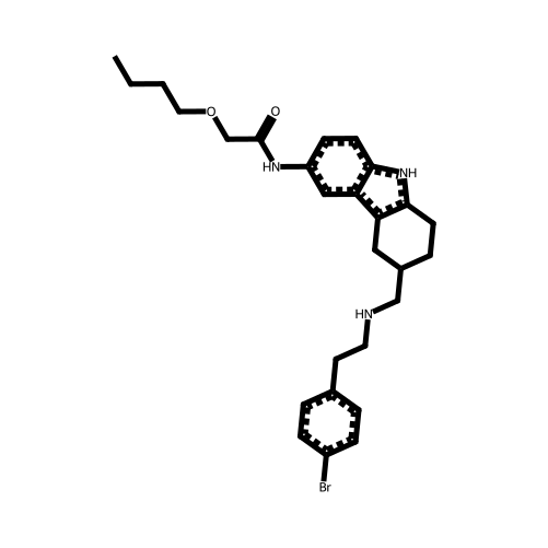 CCCCOCC(=O)Nc1ccc2[nH]c3c(c2c1)CC(CNCCc1ccc(Br)cc1)CC3